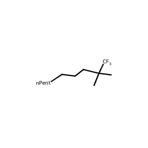 CCCCCCCCC(C)(C)C(F)(F)F